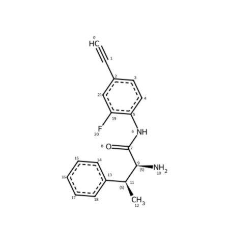 C#Cc1ccc(NC(=O)[C@@H](N)[C@@H](C)c2ccccc2)c(F)c1